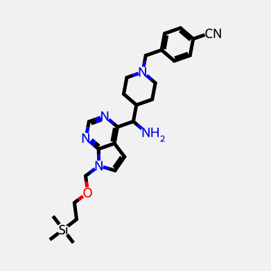 C[Si](C)(C)CCOCn1ccc2c(C(N)C3CCN(Cc4ccc(C#N)cc4)CC3)ncnc21